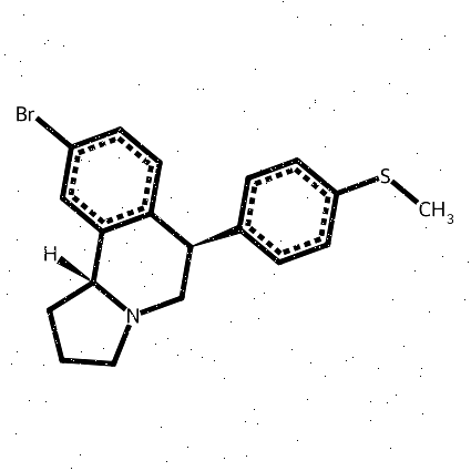 CSc1ccc([C@H]2CN3CCC[C@@H]3c3cc(Br)ccc32)cc1